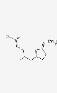 CCOC(=O)C=C1C=C(CC(C)CC=C(C)CC)CC1